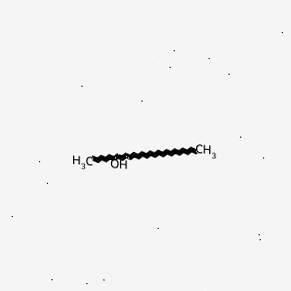 CCCCCCCCCCCCCCCCCCCCCC(O)CCCCCC